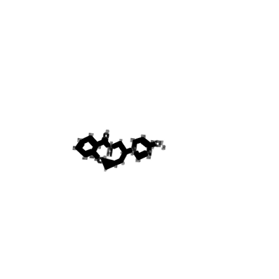 O=C(NCC(CC1CC1)N1C=NC(C(F)(F)F)=CC1)c1ccccc1Cl